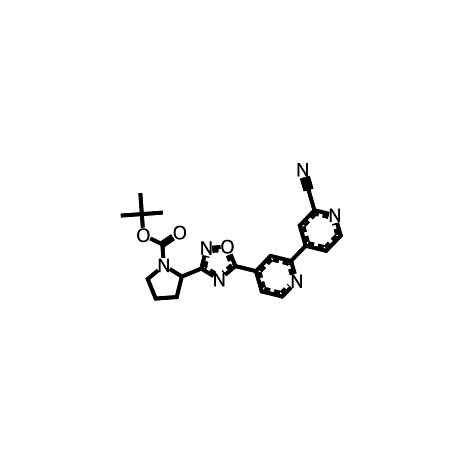 CC(C)(C)OC(=O)N1CCCC1c1noc(-c2ccnc(-c3ccnc(C#N)c3)c2)n1